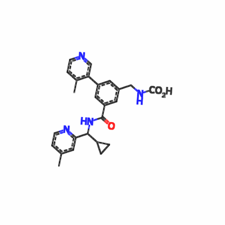 Cc1ccnc(C(NC(=O)c2cc(CNC(=O)O)cc(-c3cnccc3C)c2)C2CC2)c1